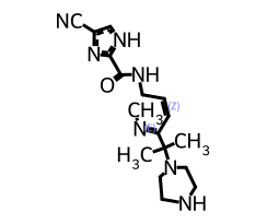 C/N=C(\C=C/CNC(=O)c1nc(C#N)c[nH]1)C(C)(C)N1CCNCC1